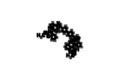 COC(=O)N[C@@H](C(=O)N1CCC[C@H]1c1ncc(-c2ccc(-c3ccc(-c4cnc([C@@H]5CCCN5C(=O)[C@H](NC(=O)OC)c5ccccc5I)[nH]4)cc3)cc2)[nH]1)c1ccccc1